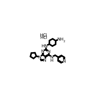 Cl.Cl.NC1CCC(Nc2nc(NCc3ccncc3)c3ncn(C4CCCC4)c3n2)CC1